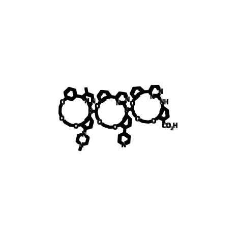 Cc1cnc2nc1-c1cccc(c1)OCCOCCOc1cc(ccc1N1CCN(C)CC1)N2C1COCCOc2cc(ccc2-c2ccncc2)N(C2COCCOc3cc(ccc3C(=O)O)Nc3nccc(n3)-c3cccc(c3)O2)c2nccc(n2)-c2cccc(c2)O1